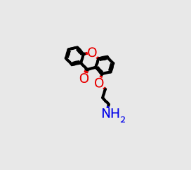 NCCCOc1cccc2oc3ccccc3c(=O)c12